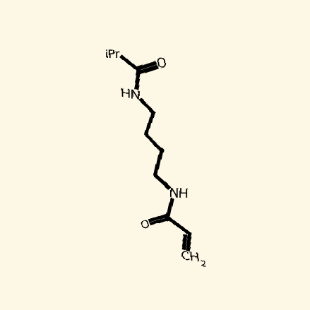 C=CC(=O)NCCCCNC(=O)C(C)C